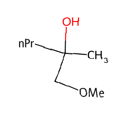 CCCC(C)(O)COC